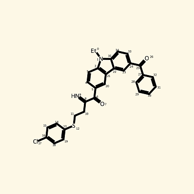 CCn1c2ccc(C(=O)C(=N)CCSc3ccc(Cl)cc3)cc2c2cc(C(=O)c3ccccc3)ccc21